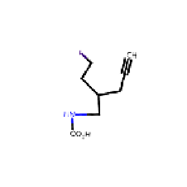 C#CCC(CCI)CNC(=O)O